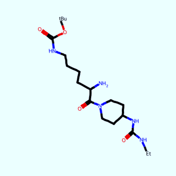 CCNC(=O)NC1CCN(C(=O)C(N)CCCCNC(=O)OC(C)(C)C)CC1